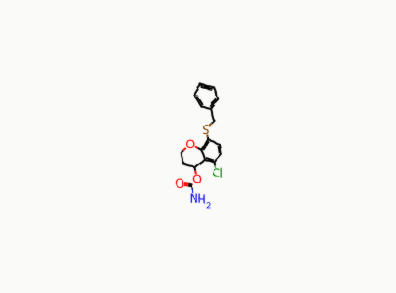 NC(=O)OC1CCOc2c(SCc3ccccc3)ccc(Cl)c21